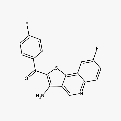 Nc1c(C(=O)c2ccc(F)cc2)sc2c1cnc1ccc(F)cc12